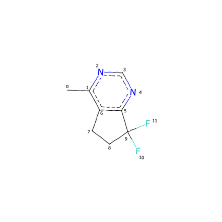 Cc1ncnc2c1CCC2(F)F